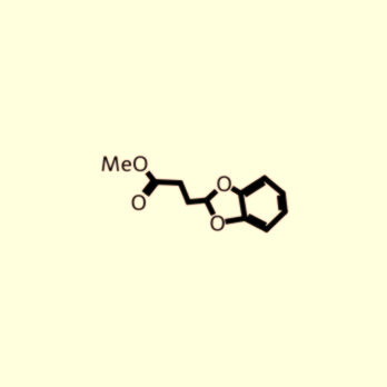 COC(=O)CCC1Oc2ccccc2O1